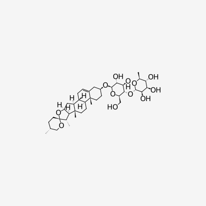 C[C@@H]1CC[C@@]2(OC1)O[C@H]1C[C@H]3[C@@H]4CC=C5C[C@@H](O[C@@H]6O[C@H](CO)[C@@H](O[C@@H]7O[C@@H](C)[C@H](O)[C@@H](O)[C@H]7O)[C@H](O)[C@H]6O)CC[C@]5(C)[C@H]4CC[C@]3(C)[C@H]1[C@@H]2C